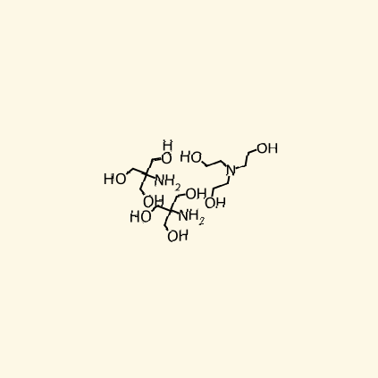 NC(CO)(CO)CO.NC(CO)(CO)CO.OCCN(CCO)CCO